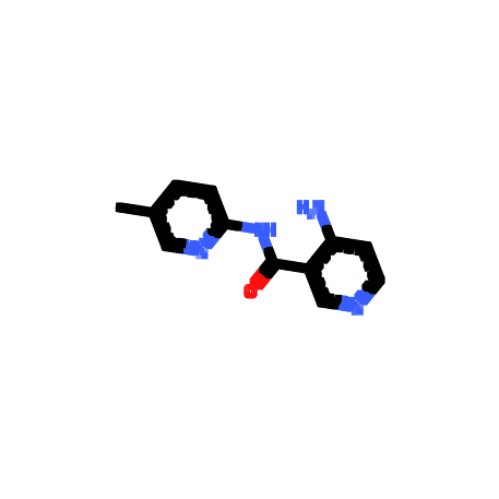 Cc1ccc(NC(=O)c2cnccc2N)nc1